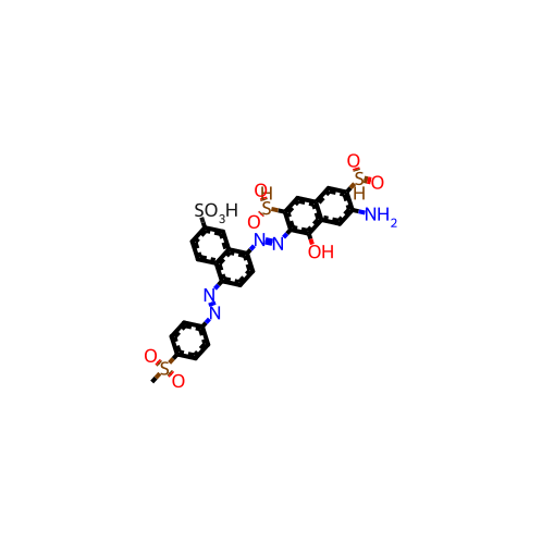 CS(=O)(=O)c1ccc(/N=N/c2ccc(/N=N/c3c([SH](=O)=O)cc4cc([SH](=O)=O)c(N)cc4c3O)c3cc(S(=O)(=O)O)ccc23)cc1